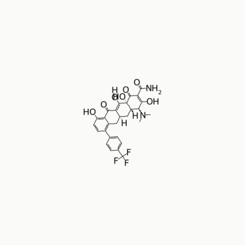 CN(C)[C@@H]1C(O)=C(C(N)=O)C(=O)[C@]2(O)C(O)=C3C(=O)c4c(O)ccc(-c5ccc(C(F)(F)F)cc5)c4C[C@@H]3C[C@@H]12